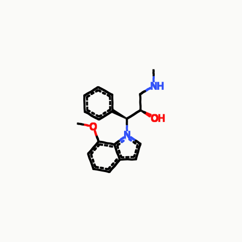 CNC[C@@H](O)[C@H](c1ccccc1)n1ccc2cccc(OC)c21